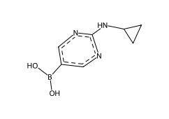 OB(O)c1cnc(NC2CC2)nc1